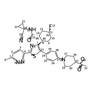 Cc1ccc(-c2nc([C@@H]3CC[C@H](F)C[C@H]3C(=O)NC3(C#N)CC3)c(-c3ccc(N4CCC(S(C)(=O)=O)CC4)cc3)s2)nn1